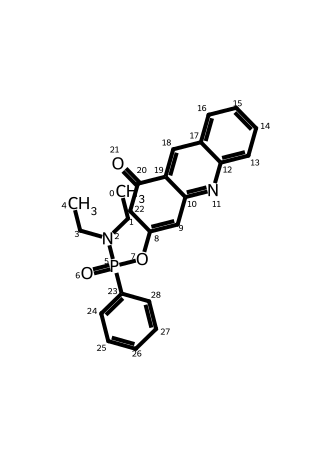 CCN(CC)P(=O)(OC1=Cc2nc3ccccc3cc2C(=O)C1)c1ccccc1